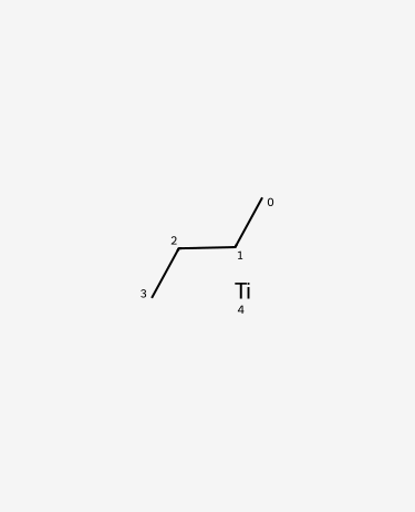 CCCC.[Ti]